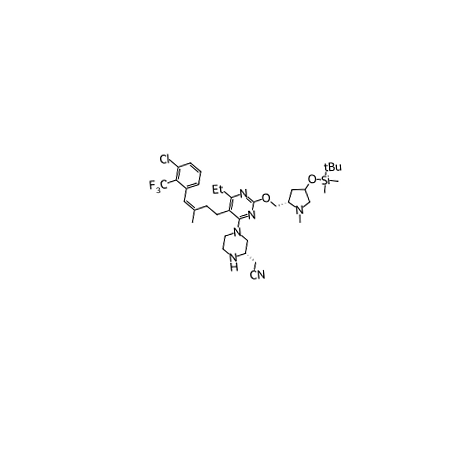 CCc1nc(OC[C@@H]2CC(O[Si](C)(C)C(C)(C)C)CN2C)nc(N2CCN[C@@H](CC#N)C2)c1CC/C(C)=C\c1cccc(Cl)c1C(F)(F)F